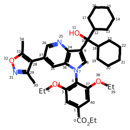 CCOC(=O)c1cc(OCC)c(-n2cc(C(O)(C3CCCCC3)C3CCCCC3)c3ncc(-c4c(C)noc4C)cc32)c(OCC)c1